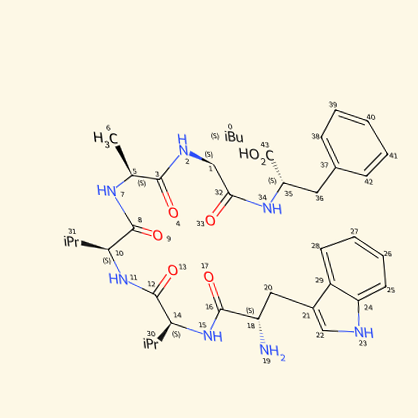 CC[C@H](C)[C@H](NC(=O)[C@H](C)NC(=O)[C@@H](NC(=O)[C@@H](NC(=O)[C@@H](N)Cc1c[nH]c2ccccc12)C(C)C)C(C)C)C(=O)N[C@@H](Cc1ccccc1)C(=O)O